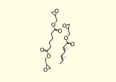 C/C=C/C=C/C(=O)OCC1CO1.O=C(CCCCC(=O)OCC1CO1)OCC1CO1